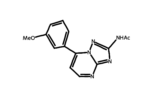 COc1cccc(-c2ccnc3nc(NC(C)=O)nn23)c1